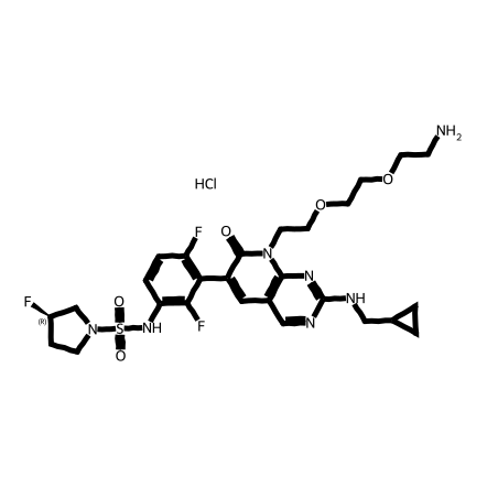 Cl.NCCOCCOCCn1c(=O)c(-c2c(F)ccc(NS(=O)(=O)N3CC[C@@H](F)C3)c2F)cc2cnc(NCC3CC3)nc21